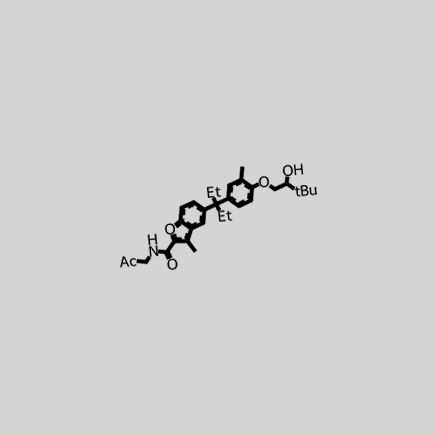 CCC(CC)(c1ccc(OCC(O)C(C)(C)C)c(C)c1)c1ccc2oc(C(=O)NCC(C)=O)c(C)c2c1